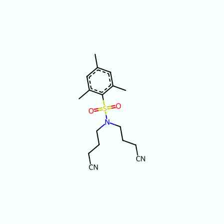 Cc1cc(C)c(S(=O)(=O)N(CCCC#N)CCCC#N)c(C)c1